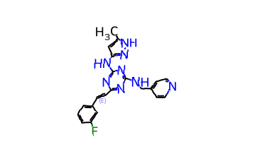 Cc1cc(Nc2nc(/C=C/c3cccc(F)c3)nc(NCc3ccncc3)n2)n[nH]1